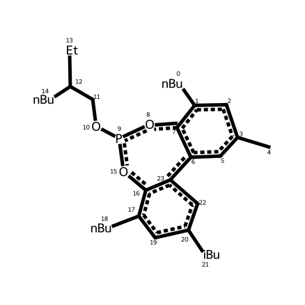 CCCCc1cc(C)cc2c1op(OCC(CC)CCCC)oc1c(CCCC)cc(C(C)CC)cc12